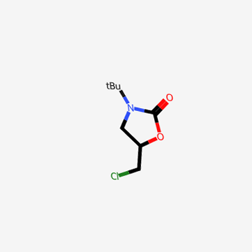 CC(C)(C)N1CC(CCl)OC1=O